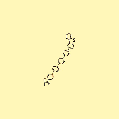 FC(F)(F)c1ccc(-c2ccc(-c3ccc(-c4ccc(-c5ccc6sc7ccccc7c6c5)cc4)cc3)cc2)cc1